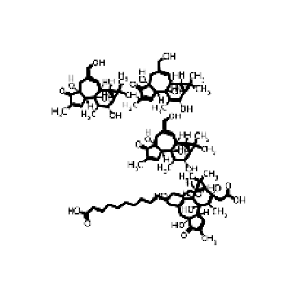 CC1=C[C@H]2[C@@]3(O)[C@H](C)[C@@H](O)[C@]4(O)[C@H]([C@@H]3C=C(CO)C[C@]2(O)C1=O)C4(C)C.CC1=C[C@H]2[C@@]3(O)[C@H](C)[C@@H](O)[C@]4(O)[C@H]([C@@H]3C=C(CO)C[C@]2(O)C1=O)C4(C)C.CC1=C[C@H]2[C@@]3(O)[C@H](C)[C@@H](O)[C@]4(O)[C@H]([C@@H]3C=C(CO)C[C@]2(O)C1=O)C4(C)C.CC1=C[C@H]2[C@]3(O)[C@@H](C=C(CO)C[C@]2(O)C1=O)[C@@H]1C(C)(C)[C@]1(OCCCCCCCCCCCCCC(=O)O)[C@@](O)(CC(=O)O)[C@H]3C